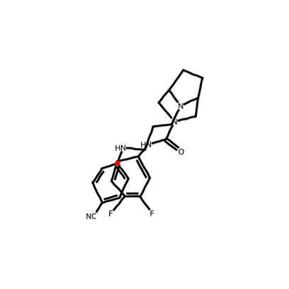 N#Cc1ccc(NCCCN2C3CCC2CN(C(=O)Nc2ccc(F)c(F)c2)C3)cc1